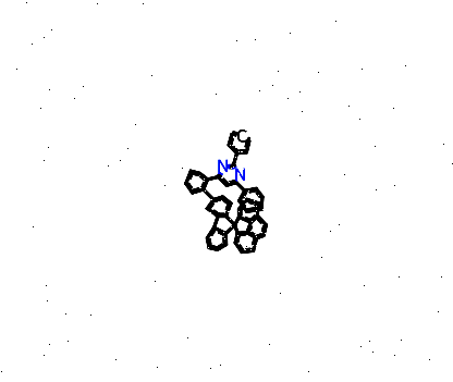 c1ccc(-c2cc(-c3ccccc3-c3ccc4c(c3)-c3ccccc3C43c4cccc5ccc6cccc3c6c45)nc(-c3ccccc3)n2)cc1